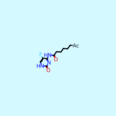 CC(=O)CCCCCC(=O)Nc1nc(=O)[nH]cc1F